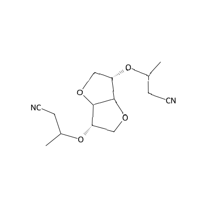 CC(CC#N)O[C@H]1COC2C1OC[C@@H]2OC(C)CC#N